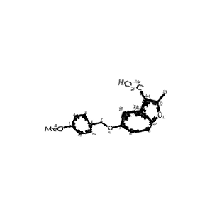 COc1ccc(COc2ccc3oc(C)c(C(=O)O)c3c2)cc1